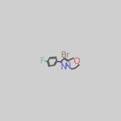 Fc1ccc(-c2nn3c(c2Br)COCCC3)cc1